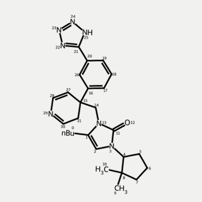 CCCCc1cn(C2CCCC2(C)C)c(=O)n1CC1(c2cccc(-c3nnn[nH]3)c2)C=CN=CC1